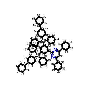 c1ccc(-c2ccc([Si](c3ccccc3)(c3ccccc3)c3cc(-c4nc(-c5ccccc5)cc(-c5ccccc5)n4)cc([Si](c4ccccc4)(c4ccccc4)c4ccc(-c5ccccc5)cc4)c3)cc2)cc1